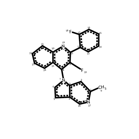 Cc1cc2c(ccn2-c2c(F)c(-c3ccccc3F)nc3ccccc23)cn1